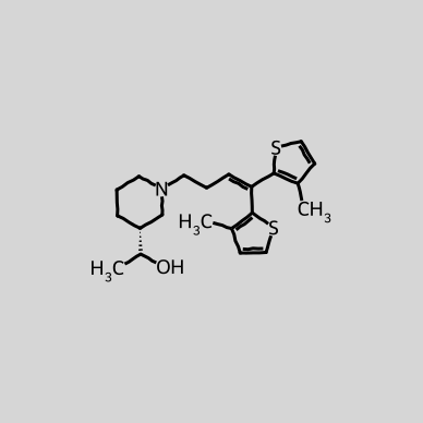 Cc1ccsc1C(=CCCN1CCC[C@@H](C(C)O)C1)c1sccc1C